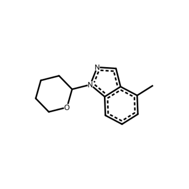 Cc1cccc2c1cnn2C1CCCCO1